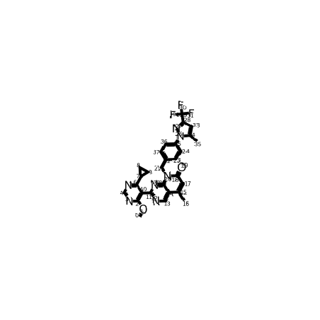 COc1ncnc(C2CC2)c1-c1ncc2c(C)cc(=O)n(Cc3ccc(-n4nc(C(F)(F)F)cc4C)cc3)c2n1